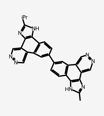 Cc1nc2c3cnncc3c3cc(-c4ccc5c(c4)c4cnncc4c4nc(C(C)C)[nH]c54)ccc3c2[nH]1